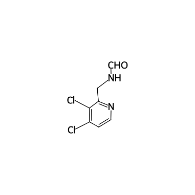 O=CNCc1nccc(Cl)c1Cl